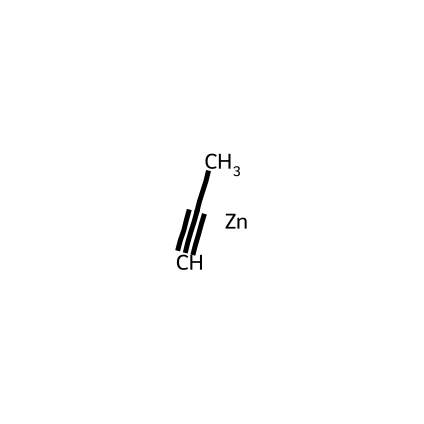 C#CC.[Zn]